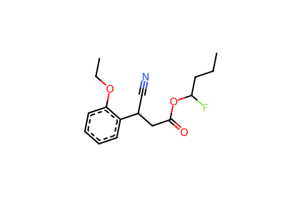 CCCC(F)OC(=O)CC(C#N)c1ccccc1OCC